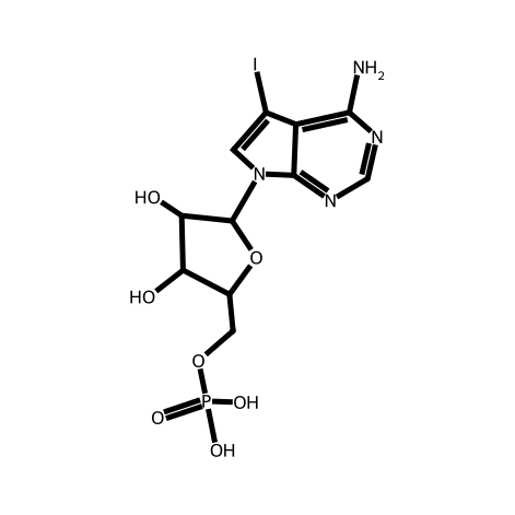 Nc1ncnc2c1c(I)cn2C1OC(COP(=O)(O)O)C(O)C1O